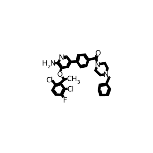 CC(Oc1cc(-c2ccc(C(=O)N3CCN(Cc4ccccc4)CC3)cc2)cnc1N)c1c(Cl)ccc(F)c1Cl